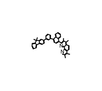 Cc1cnc2c(ccc3c(C)c(C)c(-c4ccc(-c5cccc(-c6ccc7c(c6)C(C)(C)c6ccccc6-7)c5)c5ccccc45)nc32)c1C